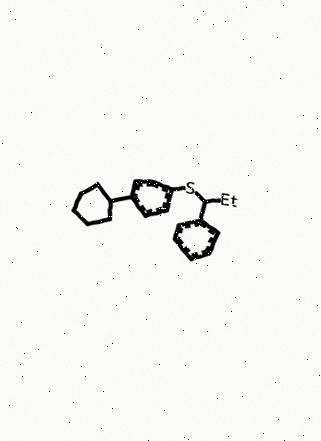 CCC(Sc1ccc(C2CCCCC2)cc1)c1ccccc1